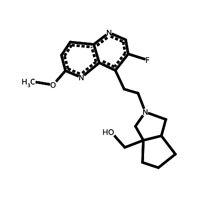 COc1ccc2ncc(F)c(CCN3CC4CCCC4(CO)C3)c2n1